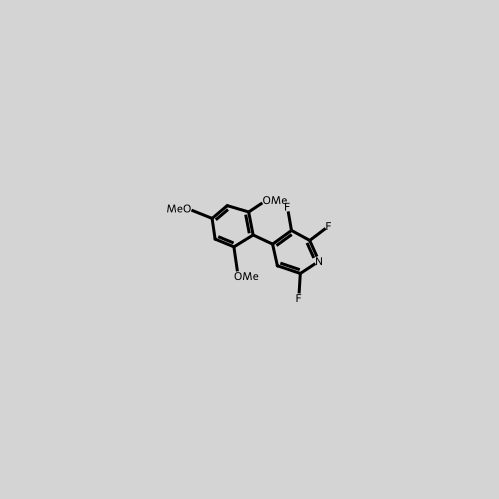 COc1cc(OC)c(-c2cc(F)nc(F)c2F)c(OC)c1